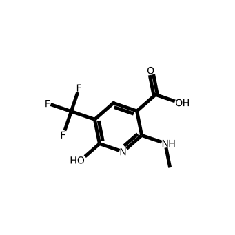 CNc1nc(O)c(C(F)(F)F)cc1C(=O)O